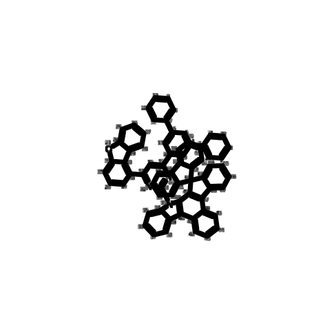 c1ccc(-c2cc(-c3ccccc3)cc(-c3cc(-c4cccc5oc6ccccc6c45)nc(-n4c5ccccc5c5c6ccccc6c6c(c54)C4(c5ccccc5-c5ccccc54)c4ccccc4-6)n3)c2)cc1